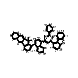 CC1(C)c2cc3ccccc3cc2-c2cccc(-c3ccc(-c4cc(-c5cccc6sc7ccccc7c56)nc(-c5ccccc5)n4)c4ccccc34)c21